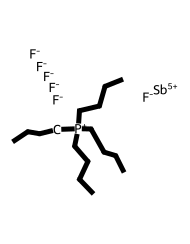 CCCC[P+](CCCC)(CCCC)CCCC.[F-].[F-].[F-].[F-].[F-].[F-].[Sb+5]